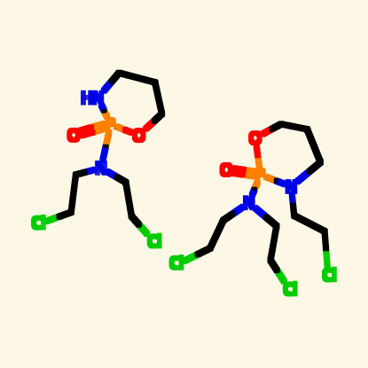 O=P1(N(CCCl)CCCl)NCCCO1.O=P1(N(CCCl)CCCl)OCCCN1CCCl